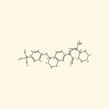 O=C(Nc1ccc2c(c1)CCCN2Cc1ccc(C(F)(F)F)cc1)[C@H]1CCCCN1C(=O)O